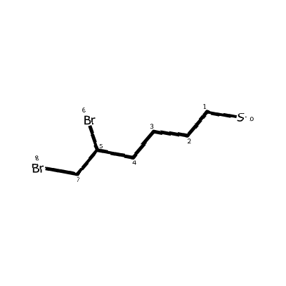 [S]CCCCC(Br)CBr